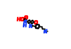 CN(C)CCCc1ccc(C#N)c(OC2CC3(CC(NC(=O)O)C3)C2)c1